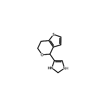 C1=C(C2OCCc3sccc32)NCN1